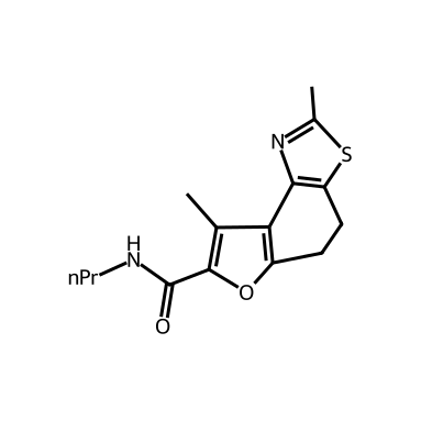 CCCNC(=O)c1oc2c(c1C)-c1nc(C)sc1CC2